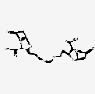 O=C(O)C1/C(=C/CC=C=COC/C=C2\OC3CC(=O)N3C2C(=O)O)OC2CC(=O)N21